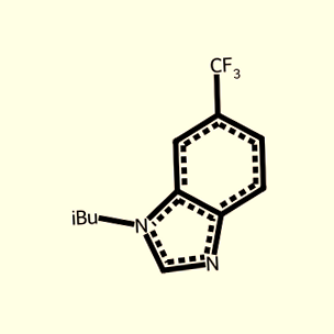 CCC(C)n1cnc2ccc(C(F)(F)F)cc21